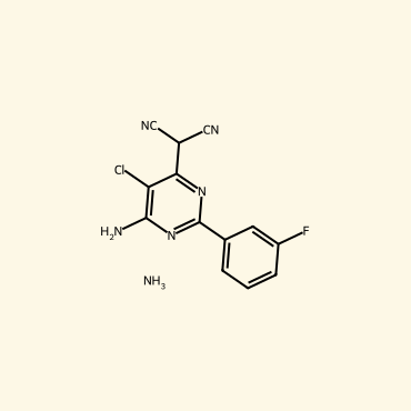 N.N#CC(C#N)c1nc(-c2cccc(F)c2)nc(N)c1Cl